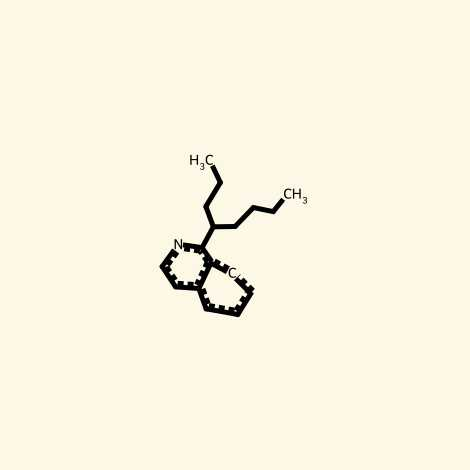 CCCCC(CCC)c1nccc2ccccc12